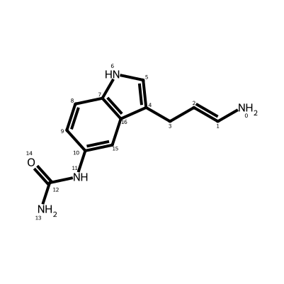 NC=CCc1c[nH]c2ccc(NC(N)=O)cc12